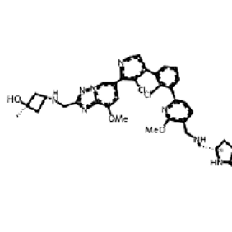 COc1nc(-c2cccc(-c3ccnc(-c4cc(OC)c5nc(CN[C@H]6C[C@](C)(O)C6)nn5c4)c3Cl)c2Cl)ccc1CNC[C@@H]1CCC(=O)N1